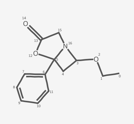 CCOC1CC2(c3ccccc3)OC(=O)CN12